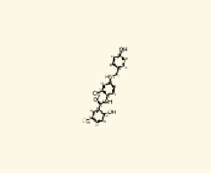 O=C(Nc1ccc(NCc2ccc(O)cc2)cc1Cl)c1cc(Cl)ccc1O